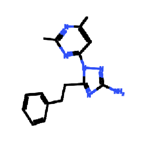 Cc1cc(-n2nc(N)nc2CCc2ccccc2)nc(C)n1